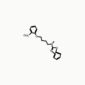 CN(CCCCOc1ccccc1C=O)c1nc2ccccc2o1